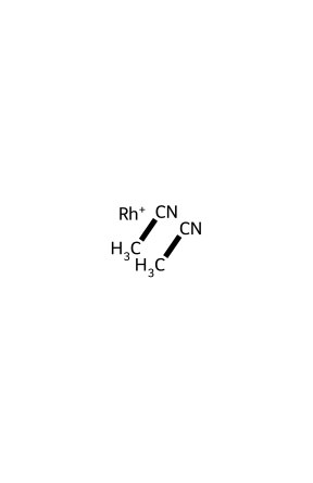 CC#N.CC#N.[Rh+]